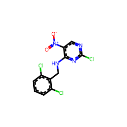 O=[N+]([O-])c1cnc(Cl)nc1NCc1c(Cl)cccc1Cl